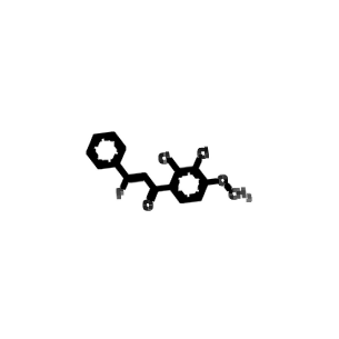 COc1ccc(C(=O)C=C(F)c2ccccc2)c(Cl)c1Cl